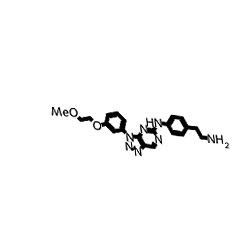 COCCOc1cccc(-n2nnc3cnc(Nc4ccc(CCN)cc4)nc32)c1